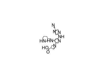 N#Cc1cnc(Nc2cc(NCC3CCCNC3)c(N3C=CC(C(=O)O)C3)cn2)cn1